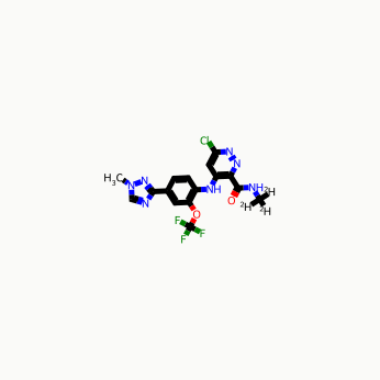 [2H]C([2H])([2H])NC(=O)c1nnc(Cl)cc1Nc1ccc(-c2ncn(C)n2)cc1OC(F)(F)F